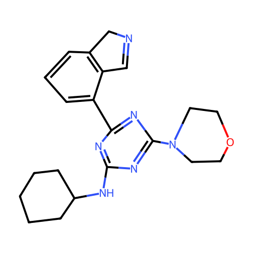 C1=NCc2cccc(-c3nc(NC4CCCCC4)nc(N4CCOCC4)n3)c21